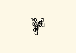 CCN1CCCC(NC(=O)[C@H](Cc2ccc(Cl)cc2Cl)NC(=O)C2(c3ccc(Cl)cc3Cl)CC2)C1